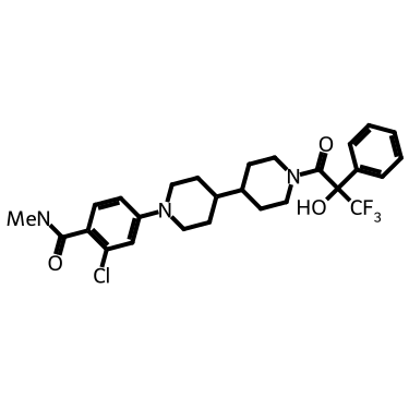 CNC(=O)c1ccc(N2CCC(C3CCN(C(=O)C(O)(c4ccccc4)C(F)(F)F)CC3)CC2)cc1Cl